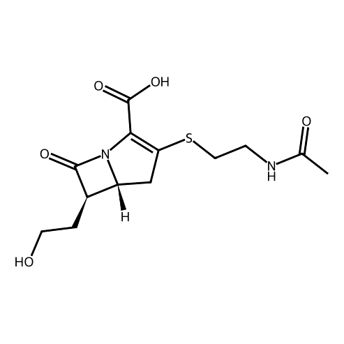 CC(=O)NCCSC1=C(C(=O)O)N2C(=O)[C@H](CCO)[C@H]2C1